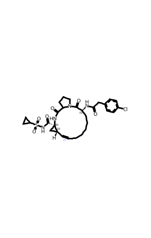 O=C(Cc1ccc(Cl)cc1)N[C@H]1CCCCC/C=C\[C@@H]2C[C@@]2(C(=O)NS(=O)(=O)C2CC2)NC(=O)C2CCCN2C1=O